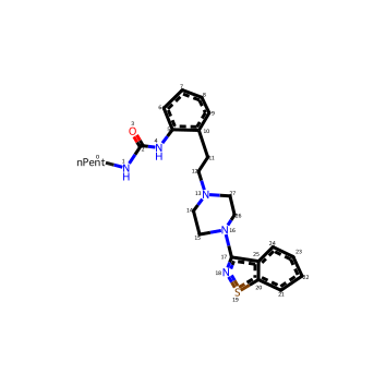 CCCCCNC(=O)Nc1ccccc1CCN1CCN(c2nsc3ccccc23)CC1